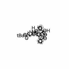 CC(C)(C)OC(=O)N1CCC(NS(=O)(=O)c2ccc3c(c2)/C(=C(/O)c2ccccc2)C(=O)N3C(=O)c2ccccc2)CC1